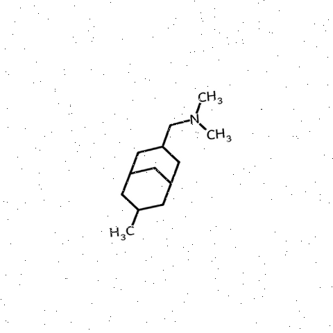 CC1CC2CC(C1)CC(CN(C)C)C2